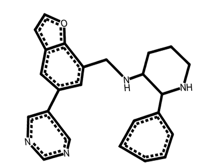 c1ccc(C2NCCCC2NCc2cc(-c3cncnc3)cc3ccoc23)cc1